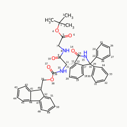 CC(C)(C)OC(=O)CNC(=O)[C@H](CC(=O)NC(c1ccccc1)(c1ccccc1)c1ccccc1)NC(=O)OCC1c2ccccc2-c2ccccc21